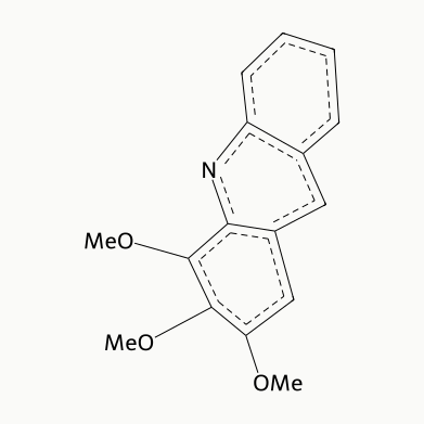 COc1cc2cc3ccccc3nc2c(OC)c1OC